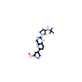 COc1cc(-c2ccc3nc(N4CCC(NC(C)(C)C)C4)ncc3n2)cnn1